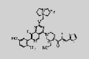 N#CC[C@H]1CN(c2nc(OC[C@@]34CCCN3C[C@H](F)C4)nc3c(F)c(-c4cc(O)ccc4C(F)(F)F)ncc23)CCN1C(=O)/C(F)=C/c1nccs1